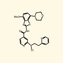 CCN(CCc1ccccn1)c1cc(C(=O)Nc2nc3c(OC)ccc(N4CCOCC4)c3s2)ccn1